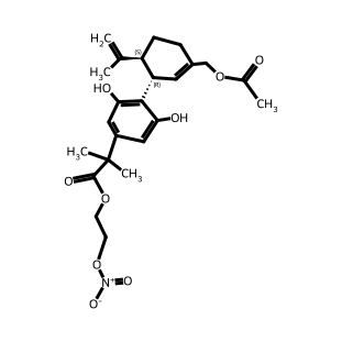 C=C(C)[C@H]1CCC(COC(C)=O)=C[C@@H]1c1c(O)cc(C(C)(C)C(=O)OCCO[N+](=O)[O-])cc1O